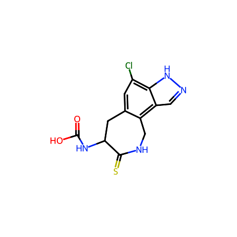 O=C(O)NC1Cc2cc(Cl)c3[nH]ncc3c2CNC1=S